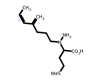 C=C(/C=C\C)CCCN(N)C(CCSC)C(=O)O